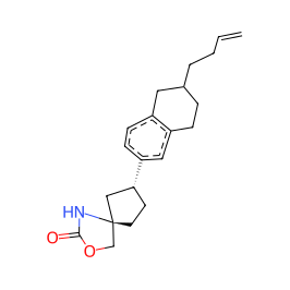 C=CCCC1CCc2cc([C@@H]3CC[C@]4(COC(=O)N4)C3)ccc2C1